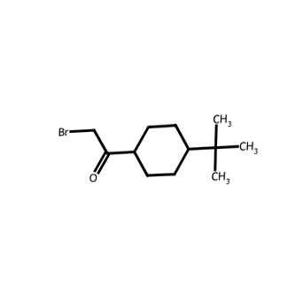 CC(C)(C)C1CCC(C(=O)CBr)CC1